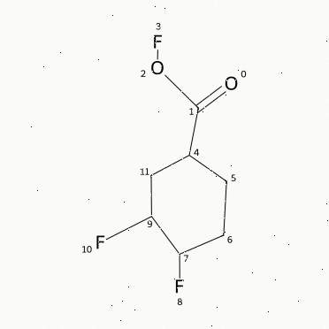 O=C(OF)C1CCC(F)C(F)C1